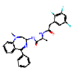 C[C@H](NC(=O)Cc1cc(F)cc(F)c1F)C(=O)N[C@@H]1CN(C)c2ccccc2C(c2ccccc2)=N1